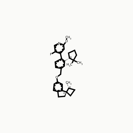 COc1cc(-c2ccc(COc3ccc4c(c3)[C@@]3(CC4)CC[C@H]3C)cc2[C@@H]2CCCC2(C)C)c(F)cn1